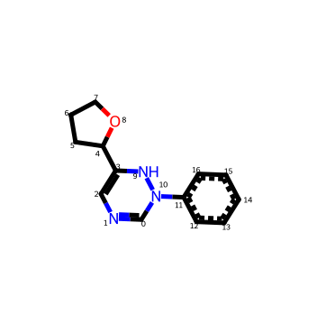 C1=NC=C(C2CCCO2)NN1c1ccccc1